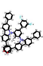 Fc1cc(F)cc(-c2cc(-n3c4cc(-c5ccccc5)ccc4c4ccc(-c5ccccc5)cc43)c(C(F)(F)F)c(-n3c4cc(-c5ccccc5)ccc4c4ccc(-c5ccccc5)cc43)c2)c1